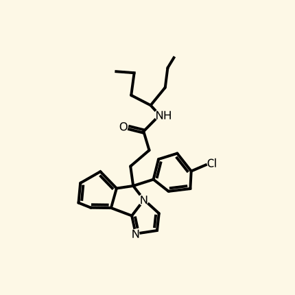 CCCC(CCC)NC(=O)CCC1(c2ccc(Cl)cc2)c2ccccc2-c2nccn21